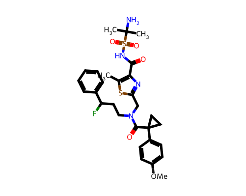 COc1ccc(C2(C(=O)N(CCC(F)c3ccccc3)Cc3nc(C(=O)NS(=O)(=O)C(C)(C)N)c(C)s3)CC2)cc1